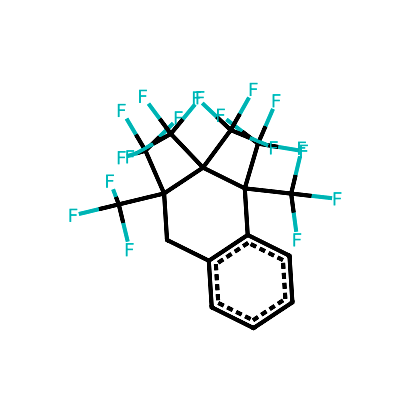 FC(F)(F)C1(C(F)(F)F)Cc2ccccc2C(C(F)(F)F)(C(F)(F)F)C1(C(F)(F)F)C(F)(F)F